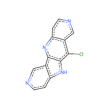 Clc1c2cnccc2nc2c1[nH]c1ccncc12